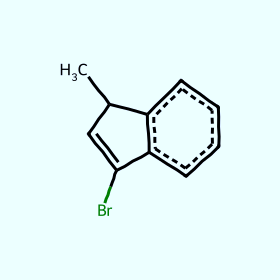 CC1C=C(Br)c2ccccc21